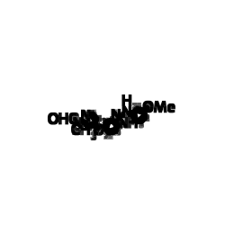 COc1cccc(Nc2nc3cc(Oc4ccnc(N(C)C=O)c4)ccc3[nH]2)c1